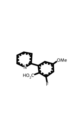 COc1cc(F)c(C(=O)O)c(-c2ccccn2)c1